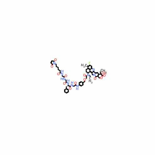 CCN(C(=O)COCc1ccc(NC(=O)CNC(=O)[C@H](Cc2ccccc2)NC(=O)CNC(=O)CNC(=O)CCCCCN2C(=O)C=CC2=O)cc1)[C@H]1CCc2c(C)c(F)cc3nc4c(c1c23)Cn1c-4cc2c(c1=O)COC(=O)[C@]2(O)CC